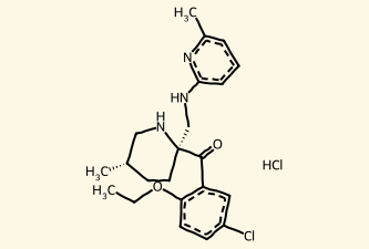 CCOc1ccc(Cl)cc1C(=O)[C@@]1(CNc2cccc(C)n2)CC[C@H](C)CN1.Cl